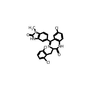 Cn1c(=O)[nH]c2cc(C3=NC(Cc4c(Cl)cccc4Cl)C(=O)Nc4ccc(Cl)cc43)ccc21